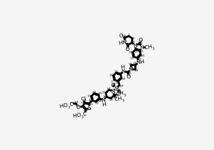 Cn1c(=O)n(C2CCC(=O)NC2=O)c2ccc(NC3CN(C(=O)Nc4cccc(CS(=O)(=O)N5CC[C@H](Nc6cccc(-c7sc(C(=O)O)c(OCC(=O)O)c7Cl)c6)CC5(C)C)c4)C3)cc21